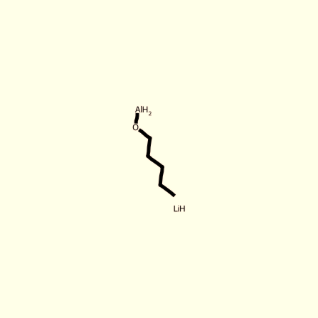 CCCCC[O][AlH2].[LiH]